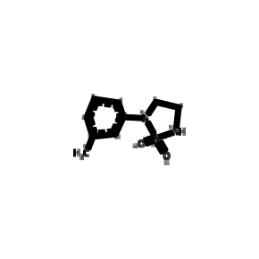 Cc1cccc(N2CCNS2(=O)=O)c1